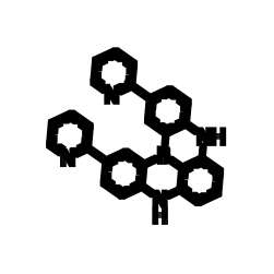 c1ccc(-c2ccc3c(c2)B2c4cc(-c5ccccn5)ccc4Nc4cccc(c42)N3)nc1